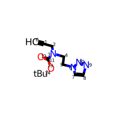 C#CCN(CCn1ccnn1)C(=O)OC(C)(C)C